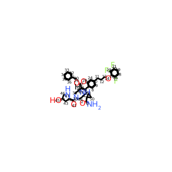 NC(=O)C1([C@]23CC(c4ccc(CCCOc5c(F)ccc(F)c5F)cc4)=C(C(=O)OCc4ccccc4)[C@@H](CN(C(=O)C4C[C@@H](O)CN4)C2)N3)CC1